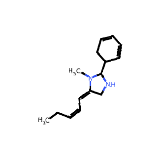 CC/C=C\C=C1/CNC(C2C=CC=CC2)N1C